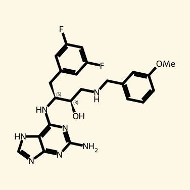 COc1cccc(CNC[C@@H](O)[C@H](Cc2cc(F)cc(F)c2)Nc2nc(N)nc3nc[nH]c23)c1